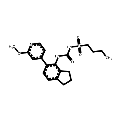 CCCCS(=O)(=O)NC(=O)Nc1c(-c2ccnc(OC)c2)ccc2c1CCC2